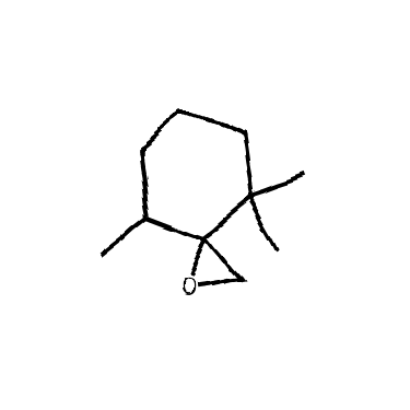 CC1CCCC(C)(C)C12CO2